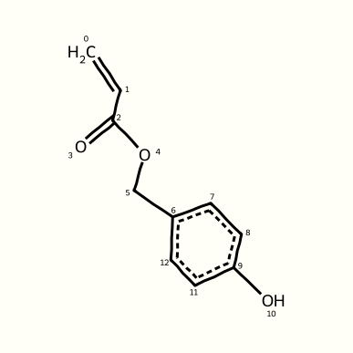 C=CC(=O)OCc1ccc(O)cc1